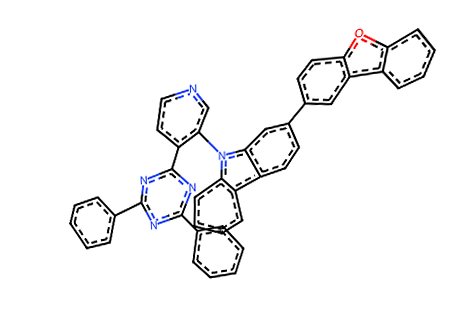 c1ccc(-c2nc(-c3ccccc3)nc(-c3ccncc3-n3c4ccccc4c4ccc(-c5ccc6oc7ccccc7c6c5)cc43)n2)cc1